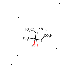 O=C(O)CC(O)(CC(=O)O)C(=O)O.[SbH3]